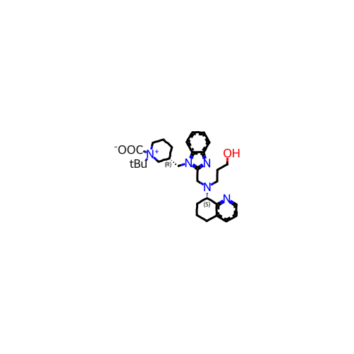 CC(C)(C)[N+]1(C(=O)[O-])CCC[C@H](Cn2c(CN(CCCO)[C@H]3CCCc4cccnc43)nc3ccccc32)C1